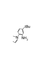 C/C=C\N(C)c1ccc(C(C)(C)C)cc1N